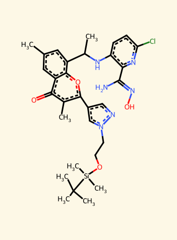 Cc1cc(C(C)Nc2ccc(Cl)nc2C(N)=NO)c2oc(-c3cnn(CCO[Si](C)(C)C(C)(C)C)c3)c(C)c(=O)c2c1